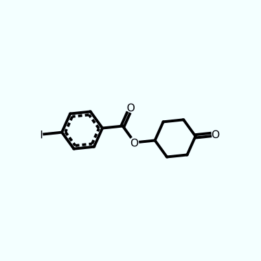 O=C1CCC(OC(=O)c2ccc(I)cc2)CC1